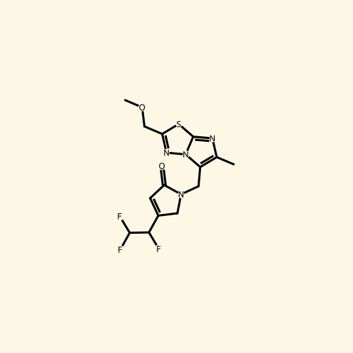 COCc1nn2c(CN3CC(C(F)C(F)F)=CC3=O)c(C)nc2s1